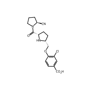 N#C[C@@H]1CCCN1C(=O)[C@@H]1CC[C@H](COc2ccc(C(=O)O)cc2Cl)N1